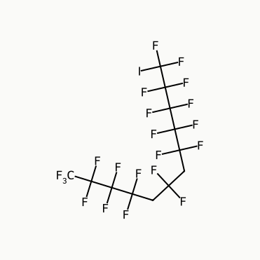 FC(F)(CC(F)(F)C(F)(F)C(F)(F)C(F)(F)F)CC(F)(F)C(F)(F)C(F)(F)C(F)(F)C(F)(F)I